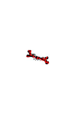 CC1(C)c2cc(/C=C/c3ccc4c(c3)C(C)(C)c3cc(N(c5ccc(-c6cccc7ccccc67)cc5)c5ccc6ccccc6c5)ccc3-4)ccc2-c2ccc(/C=C/c3ccc4c(c3)C(C)(C)c3cc(N(c5ccc(-c6cccc7ccccc67)cc5)c5ccc6ccccc6c5)ccc3-4)cc21